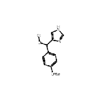 CCOC(c1ccc(OC)cc1)c1c[nH]cn1